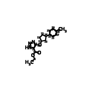 CCOC(=O)c1[nH]nnc1OC1CCC(c2ccc(C)cc2)C1